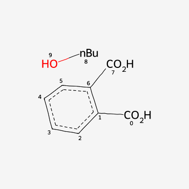 O=C(O)c1ccccc1C(=O)O.[CH2]CCCO